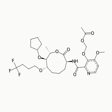 COc1ccnc(C(=O)N[C@H]2CCC[C@H](OCCCC(F)(F)F)[C@@H](OC3CCCC3)[C@H](C)OC2=O)c1OCOC(C)=O